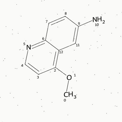 COc1ccnc2ccc(N)cc12